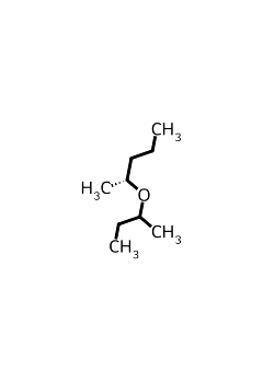 CCC[C@@H](C)OC(C)CC